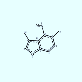 CNc1c(C)ccc2occ(C)c12